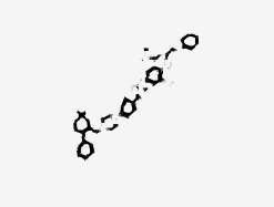 CN(C)CC[C@H](CSc1ccccc1)Nc1ccc(S(=O)(=O)NC(=O)c2ccc(N3CCN(CC4=C(c5ccc(Cl)cc5)CCC(C)(C)C4)CC3)cc2)cc1[N+](=O)[O-]